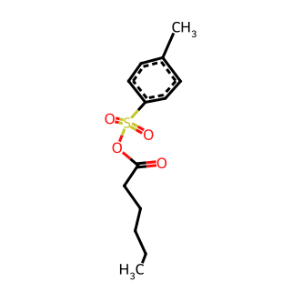 CCCCCC(=O)OS(=O)(=O)c1ccc(C)cc1